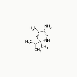 CC(C)C1(C)N=C(N)C(N)=CN1